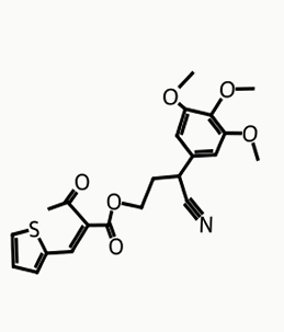 COc1cc(C(C#N)CCOC(=O)C(=Cc2cccs2)C(C)=O)cc(OC)c1OC